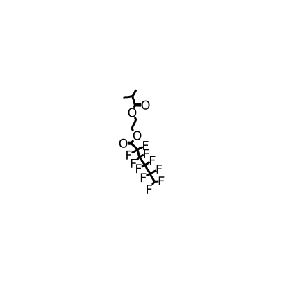 CC(C)C(=O)OCCOC(=O)C(F)(F)C(F)(F)C(F)(F)C(F)(F)C(F)F